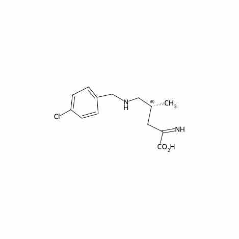 C[C@@H](CNCc1ccc(Cl)cc1)CC(=N)C(=O)O